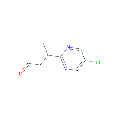 CC(CC=O)c1ncc(Cl)cn1